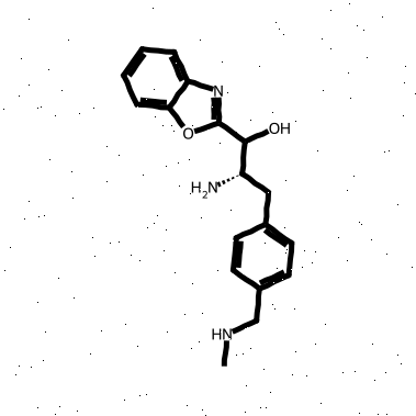 CNCc1ccc(C[C@H](N)C(O)c2nc3ccccc3o2)cc1